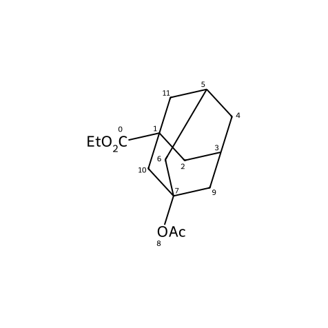 CCOC(=O)C12CC3CC(CC(OC(C)=O)(C3)C1)C2